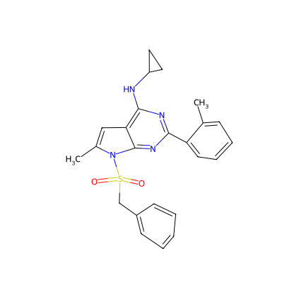 Cc1ccccc1-c1nc(NC2CC2)c2cc(C)n(S(=O)(=O)Cc3ccccc3)c2n1